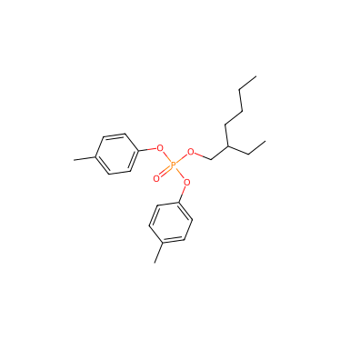 CCCCC(CC)COP(=O)(Oc1ccc(C)cc1)Oc1ccc(C)cc1